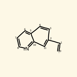 [CH]=Cc1ccc2cccnc2c1